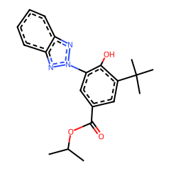 CC(C)OC(=O)c1cc(-n2nc3ccccc3n2)c(O)c(C(C)(C)C)c1